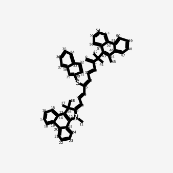 C=C(/C=C/C=C(/C=C/C=C1/N(C)c2c(c3ccccc3c3ccccc23)C1(C)C)Sc1ccc2ccccc2c1)C(C)(C)c1c(C)c2ccccc2c2ccccc12